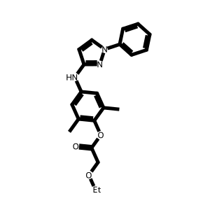 CCOCC(=O)Oc1c(C)cc(Nc2ccn(-c3ccccc3)n2)cc1C